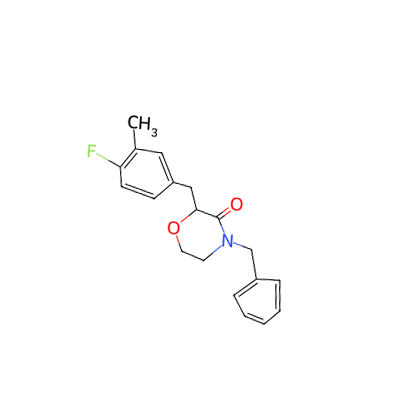 Cc1cc(CC2OCCN(Cc3ccccc3)C2=O)ccc1F